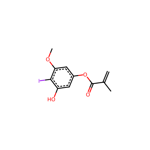 C=C(C)C(=O)Oc1cc(O)c(I)c(OC)c1